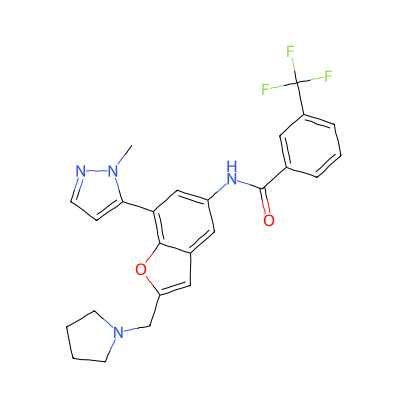 Cn1nccc1-c1cc(NC(=O)c2cccc(C(F)(F)F)c2)cc2cc(CN3CCCC3)oc12